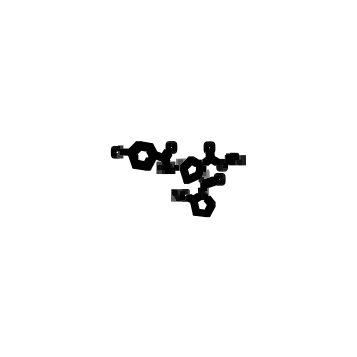 CC(C)(C)OC(=O)N1C[C@@H](NC(=O)c2ccc(Cl)cc2)C[C@H]1C(=O)N1CCCC1C#N